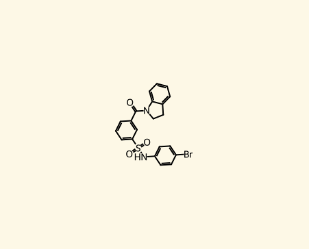 O=C(c1cccc(S(=O)(=O)Nc2ccc(Br)cc2)c1)N1CCc2ccccc21